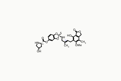 COc1c(C)c2c(c(O)c1C/C=C(\C)CNP1(=S)Oc3ccc(OC(=O)[C@@H]4C[C@@H](O)CN4)cc3O1)C(=O)OC2